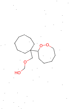 OCOCC1(C2CCCCCOO2)CCCCCCC1